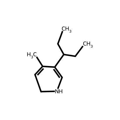 CCC(CC)C1=CNCC=C1C